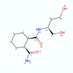 NC(=O)[C@H]1CCCC[C@H]1C(=O)N[C@H](CO)CCO